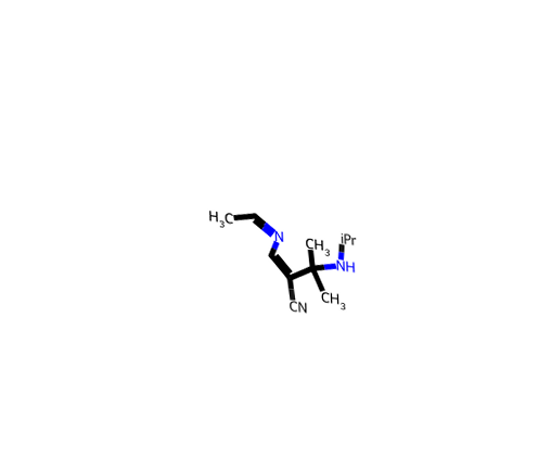 C/C=N\C=C(\C#N)C(C)(C)NC(C)C